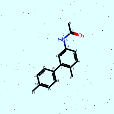 CC(=O)Nc1ccc(C)c(-c2ccc(C)cc2)c1